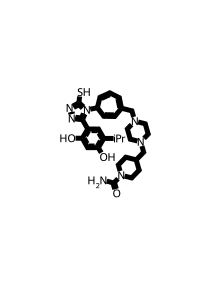 CC(C)c1cc(-c2nnc(S)n2C2C=CC=C(CN3CCN(CC4CCN(C(N)=O)CC4)CC3)C=C2)c(O)cc1O